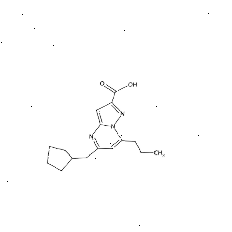 CCCc1cc(CC2CCCC2)nc2cc(C(=O)O)nn12